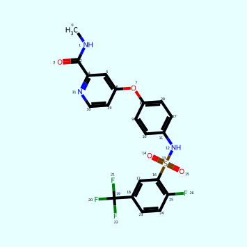 CNC(=O)c1cc(Oc2ccc(NS(=O)(=O)c3cc(C(F)(F)F)ccc3F)cc2)ccn1